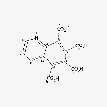 O=C(O)c1c(C(=O)O)c(C(=O)O)c2ncccc2c1C(=O)O